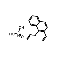 C=CCc1c(C=C)ccc2ccccc12.O=[PH](O)O